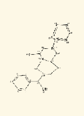 OC(c1ccccc1)C1CCC2CN(c3ncccn3)CC(F)N2C1